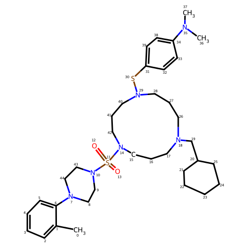 Cc1ccccc1N1CCN(S(=O)(=O)N2CCCN(CC3CCCCC3)CCCN(Sc3ccc(N(C)C)cc3)CCC2)CC1